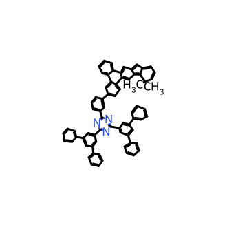 CC1(C)C=CC=C2C=c3cc4c5ccccc5c5cc(-c6cccc(-c7nc(-c8cc(-c9ccccc9)cc(-c9ccccc9)c8)nc(-c8cc(-c9ccccc9)cc(-c9ccccc9)c8)n7)c6)ccc5c4cc3=C21